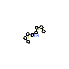 c1ccc(-c2cccc3c2sc2c(-c4ccc5[nH]c6ccc(-c7cccc8c7sc7c(-c9ccccc9)cccc78)cc6c5c4)cccc23)cc1